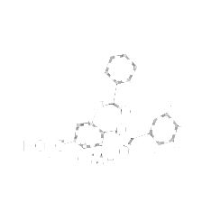 COc1cc(C(=O)O)cc(OC(=O)c2ccccc2)c1OC(=O)c1ccccc1